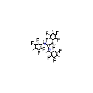 C/C(=C1/C(=C(\C)c2c(F)c(F)c(C)c(F)c2F)C1[C@@H](C)c1c(F)c(F)c(C)c(F)c1F)c1c(F)c(F)c(C)c(F)c1F